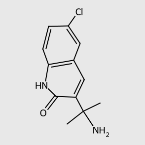 CC(C)(N)c1cc2cc(Cl)ccc2[nH]c1=O